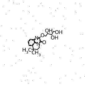 CC1(C)CCn2c(=O)c(OC[C@H](O)[C@@H](O)CO)nc3cccc1c32